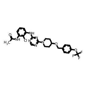 CC(=O)Nc1cccc(Nc2ncnc(N3CCC(OCc4ccc(OC(F)(F)F)cc4)CC3)n2)c1Cl